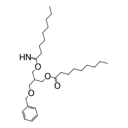 CCCCCCCCC(=N)OCC(COCc1ccccc1)COC(=O)CCCCCCCC